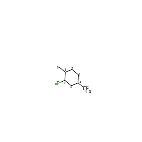 CC1CCC(C(F)(F)F)CC1F